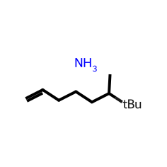 C=CCCCC(C)C(C)(C)C.N